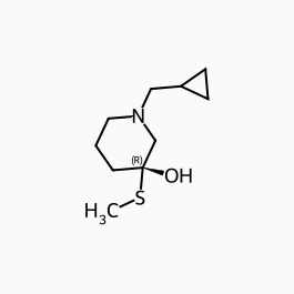 CS[C@]1(O)CCCN(CC2CC2)C1